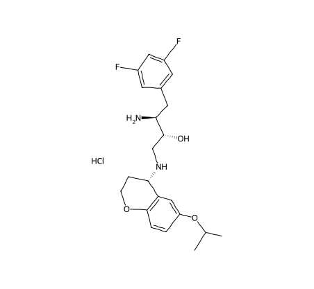 CC(C)Oc1ccc2c(c1)[C@@H](NC[C@@H](O)[C@@H](N)Cc1cc(F)cc(F)c1)CCO2.Cl